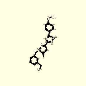 CC(=O)Cc1cccc(Cn2nc(-c3nc(-c4ccc(OC(F)(F)F)cc4)no3)cc2C)c1